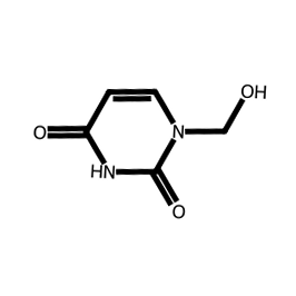 O=c1ccn(CO)c(=O)[nH]1